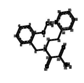 COc1ccccc1CN(CCc1ccccn1)C(=O)C(N)=O